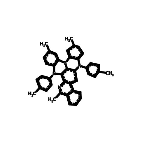 Cc1ccc(N2c3ccc(C)cc3B3c4cc(C)ccc4N(c4ccc(C)cc4)c4c3c2cc2c4nc(C)c3ccccc32)cc1